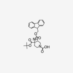 CC(C)(C)OC(=O)C1(NC(=O)OCC2c3ccccc3-c3ccccc32)CCN(C(=O)O)CC1